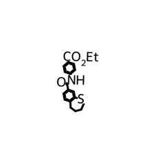 CCOC(=O)c1ccc(NC(=O)c2ccc3c(c2)SCCCC3)cc1